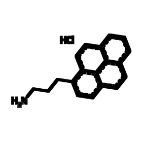 Cl.NCCCc1ccc2ccc3cccc4ccc1c2c34